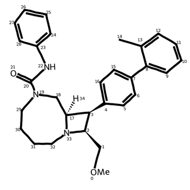 COC[C@@H]1[C@H](c2ccc(-c3ccccc3C)cc2)[C@@H]2CN(C(=O)Nc3ccccc3)CCCCN12